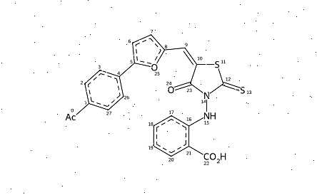 CC(=O)c1ccc(-c2ccc(C=C3SC(=S)N(Nc4ccccc4C(=O)O)C3=O)o2)cc1